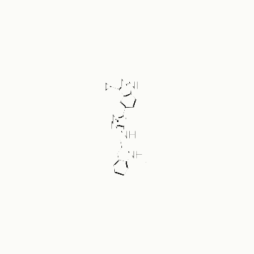 Nc1ccccc1CCCNc1nnc(-c2ccc3[nH]nc(C4CC4)c3c2)s1